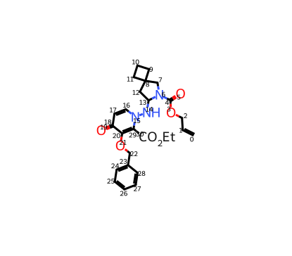 C=CCOC(=O)N1CC2(CCC2)CC1Nn1ccc(=O)c(OCc2ccccc2)c1C(=O)OCC